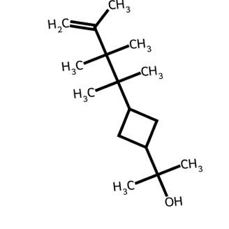 C=C(C)C(C)(C)C(C)(C)C1CC(C(C)(C)O)C1